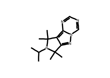 CC(C)N1C(C)(C)c2nn3cncnc3c2C1(C)C